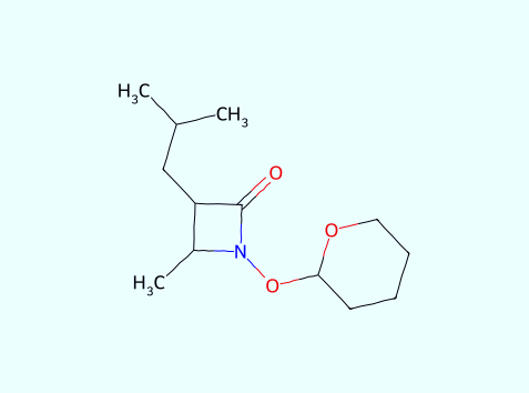 CC(C)CC1C(=O)N(OC2CCCCO2)C1C